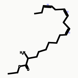 CC/C=C\C/C=C\C/C=C\CCCCCCC(N)C(=O)OCC